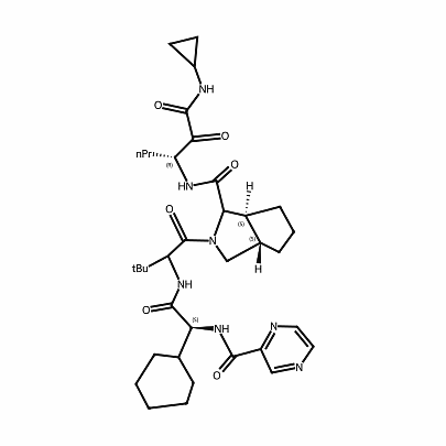 CCC[C@@H](NC(=O)C1[C@H]2CCC[C@@H]2CN1C(=O)C(NC(=O)[C@@H](NC(=O)c1cnccn1)C1CCCCC1)C(C)(C)C)C(=O)C(=O)NC1CC1